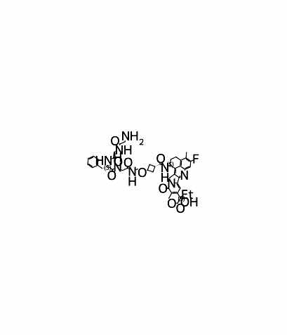 CC[C@@]1(O)C(=O)OCc2c1cc1n(c2=O)Cc2c-1nc1cc(F)c(C)c3c1c2[C@@H](NC(=O)[C@H]1C[C@@H](OCNC(=O)CNC(=O)[C@H](Cc2ccccc2)NC(=O)CNC(=O)CN)C1)CC3